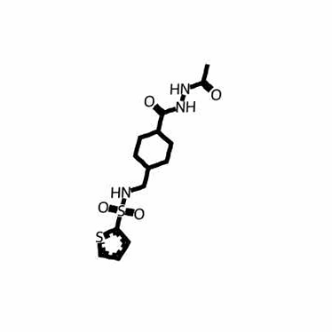 CC(=O)NNC(=O)C1CCC(CNS(=O)(=O)c2cccs2)CC1